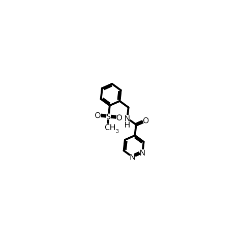 CS(=O)(=O)c1ccccc1CNC(=O)c1ccnnc1